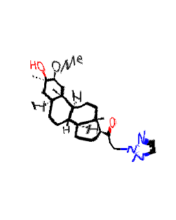 CO[C@H]1C[C@@]2(C)[C@@H](CC[C@@H]3[C@@H]2CC[C@]2(C)[C@@H](C(=O)Cn4nccn4)CC[C@@H]32)C[C@@]1(C)O